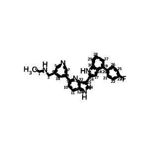 CCNCc1cncc(-c2ccc3[nH]nc(-c4cc5c(-c6ccc(F)cc6)cccc5[nH]4)c3n2)c1